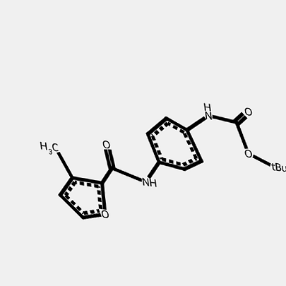 Cc1ccoc1C(=O)Nc1ccc(NC(=O)OC(C)(C)C)cc1